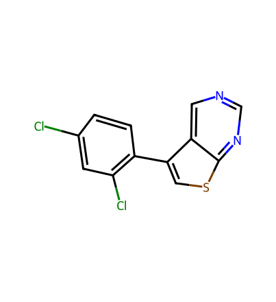 Clc1ccc(-c2csc3ncncc23)c(Cl)c1